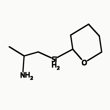 CC(N)C[SiH2]C1CCCCO1